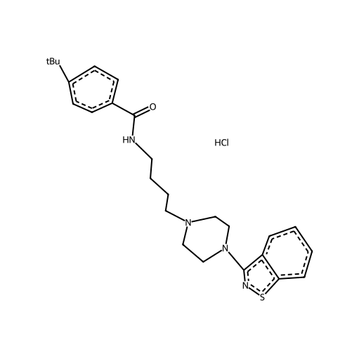 CC(C)(C)c1ccc(C(=O)NCCCCN2CCN(c3nsc4ccccc34)CC2)cc1.Cl